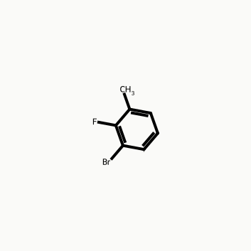 Cc1cc[c]c(Br)c1F